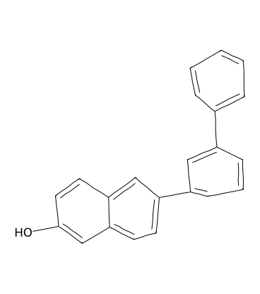 Oc1ccc2cc(-c3cccc(-c4ccccc4)c3)ccc2c1